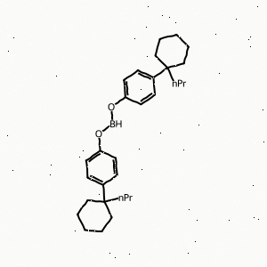 CCCC1(c2ccc(OBOc3ccc(C4(CCC)CCCCC4)cc3)cc2)CCCCC1